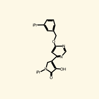 CC(C)c1cccc(COc2cc(C3=C(O)C(=O)N(C(C)C)C3)ncn2)c1